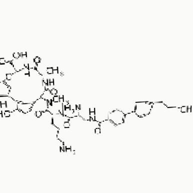 CCCCc1ccc(-c2ccc(C(=O)NC[C@@H](N)C(=O)N[C@@H](CCCCN)C(=O)N(C)[C@@H]3C(=O)N[C@@H](C)C(=O)N[C@H](C(=O)O)Cc4ccc(O)c(c4)-c4cc3ccc4O)cc2)cc1